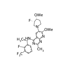 COc1nc2nc(C)nc(N[C@H](C)c3cccc(C(F)(F)F)c3F)c2cc1N1CC[C@@H](OC)[C@@H](F)C1